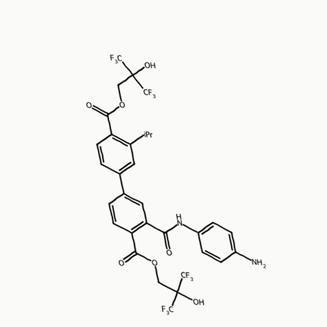 CC(C)c1cc(-c2ccc(C(=O)OCC(O)(C(F)(F)F)C(F)(F)F)c(C(=O)Nc3ccc(N)cc3)c2)ccc1C(=O)OCC(O)(C(F)(F)F)C(F)(F)F